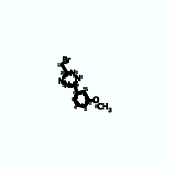 COc1cccc(-c2nnc(CBr)nn2)c1